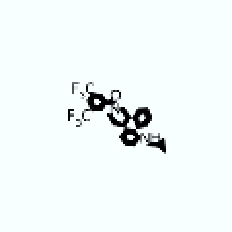 O=C(c1cc(C(F)(F)F)cc(C(F)(F)F)c1)N1CC[C@@H](c2cccc(NCC3CC3)c2)[C@@H](c2ccccc2)C1